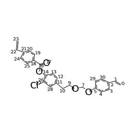 C=Cc1ccc(OCOCCc2ccc(OC(=O)c3ccc(C=C)cc3)c(Cl)c2)cc1